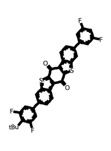 CC(C)(C)c1c(F)cc(-c2ccc3c4c(sc3c2)C(=O)c2c(sc3cc(-c5cc(F)cc(F)c5)ccc23)C4=O)cc1F